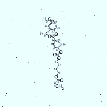 C=CC(=O)OCCCCOC(=O)Oc1ccc(C(=O)Oc2ccc(C)cc2C)cc1